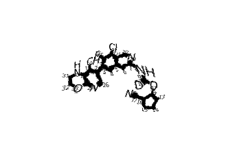 Cc1c(-c2cc3cc(NC(=O)O[C@H]4CCCC4C#N)ncc3c(Cl)c2F)cnc2c1NCCO2